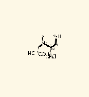 CN(C)[C@@H](CS)C(=O)O.Cl.Cl